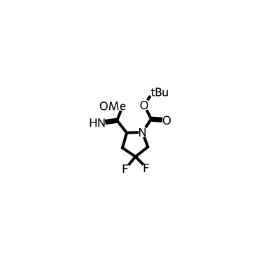 COC(=N)C1CC(F)(F)CN1C(=O)OC(C)(C)C